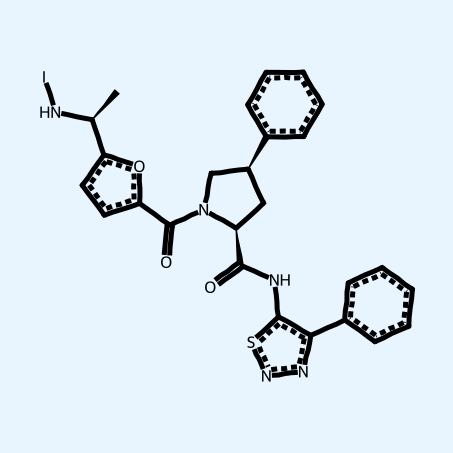 C[C@H](NI)c1ccc(C(=O)N2C[C@@H](c3ccccc3)C[C@H]2C(=O)Nc2snnc2-c2ccccc2)o1